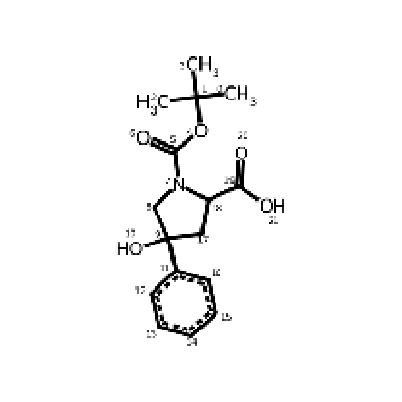 CC(C)(C)OC(=O)N1CC(O)(c2ccccc2)CC1C(=O)O